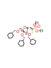 CCOP(=O)(OCC)/C(F)=C/[C@H]1O[C@H](COCc2ccccc2)[C@@H](OCc2ccccc2)[C@@H]1OCc1ccccc1